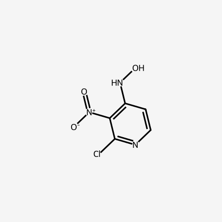 O=[N+]([O-])c1c(NO)ccnc1Cl